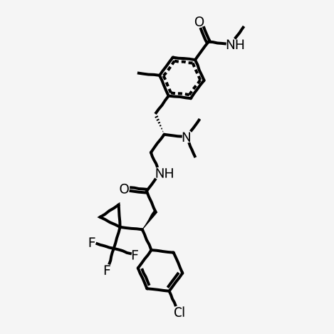 CNC(=O)c1ccc(C[C@@H](CNC(=O)C[C@@H](C2C=CC(Cl)=CC2)C2(C(F)(F)F)CC2)N(C)C)c(C)c1